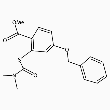 COC(=O)c1ccc(OCc2ccccc2)cc1SC(=O)N(C)C